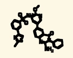 COc1ncc(-c2ccc3nc(N)n(-c4ccccc4)c(=O)c3c2)cc1NS(=O)(=O)c1cccc(-c2csc(C)n2)c1